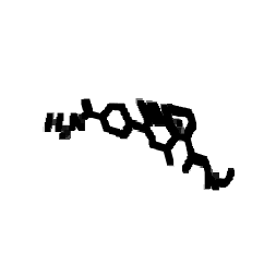 C=C(N)C1CCC(C(N)CC(C)c2ccccc2/C(C)=C/N=C\C)CC1